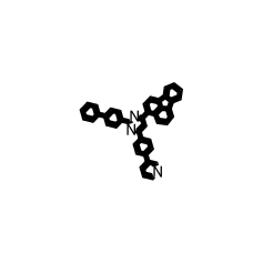 c1ccc(-c2ccc(-c3nc(-c4ccc(-c5cccnc5)cc4)cc(-c4ccc5c6c(cccc46)-c4ccccc4-5)n3)cc2)cc1